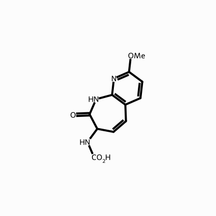 COc1ccc2c(n1)NC(=O)C(NC(=O)O)C=C2